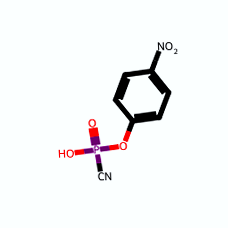 N#CP(=O)(O)Oc1ccc([N+](=O)[O-])cc1